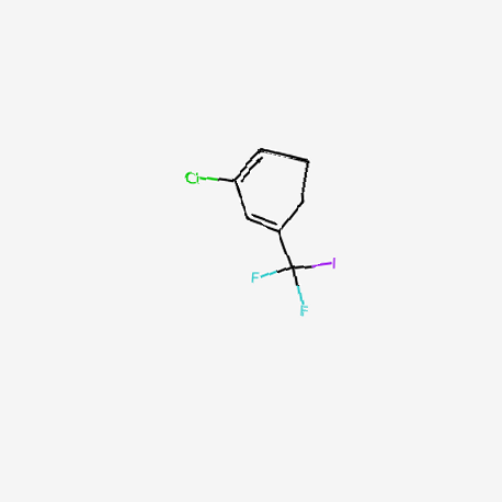 FC(F)(I)C1=CC(Cl)=CCC1